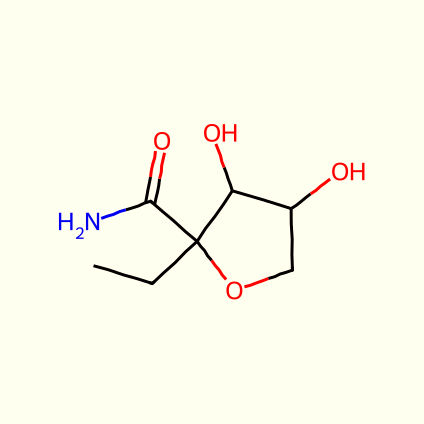 CCC1(C(N)=O)OCC(O)C1O